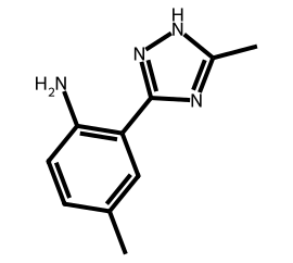 Cc1ccc(N)c(-c2n[nH]c(C)n2)c1